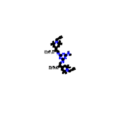 C#CCN1C(C)(C)CC(C(C=Nc2nc(N=CC(C(=O)OCC)C3CC(C)(C)N(CC#C)C(C)(C)C3)nc(N(C)C)n2)C(=O)OCC)CC1(C)C